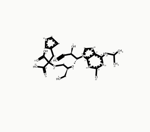 C#C[C@@H](O)[C@@H](O[C@@H](CO)COC(Cc1ccsc1)(C(=O)O)C(=O)O)n1cnc2c(NC(C)C)nc(Cl)nc21